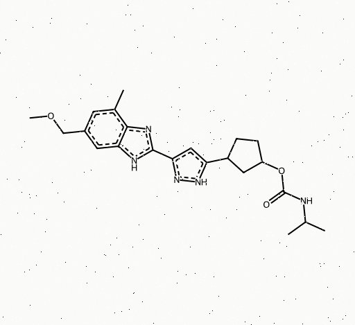 COCc1cc(C)c2nc(-c3cc(C4CCC(OC(=O)NC(C)C)C4)[nH]n3)[nH]c2c1